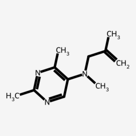 C=C(C)CN(C)c1cnc(C)nc1C